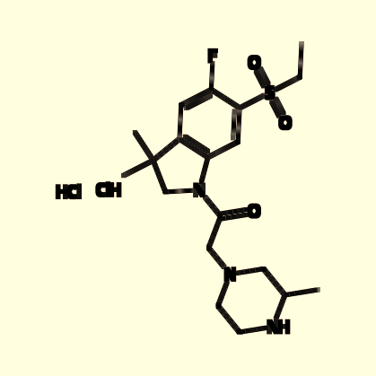 CCS(=O)(=O)c1cc2c(cc1F)C(C)(C)CN2C(=O)CN1CCNC(C)C1.Cl.Cl